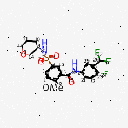 COc1ccc(S(=O)(=O)N[C@H]2CCCOC2)cc1C(=O)Nc1ccc(F)c(C(F)F)c1